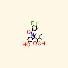 CC[C@@H](C)C(C(=O)O)c1c(C)n(C(=O)c2ccc(F)c(F)c2)c2ccc(O)cc12